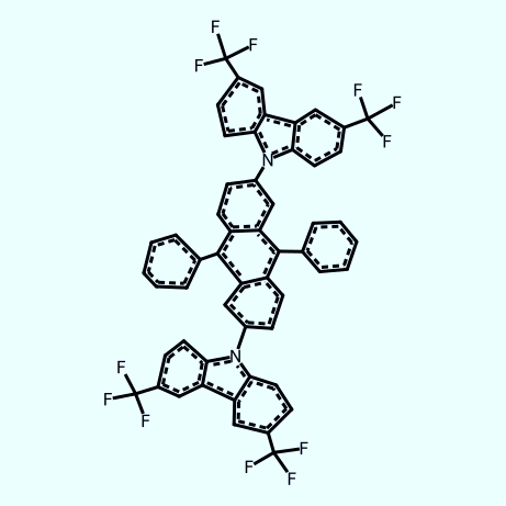 FC(F)(F)c1ccc2c(c1)c1cc(C(F)(F)F)ccc1n2-c1ccc2c(-c3ccccc3)c3cc(-n4c5ccc(C(F)(F)F)cc5c5cc(C(F)(F)F)ccc54)ccc3c(-c3ccccc3)c2c1